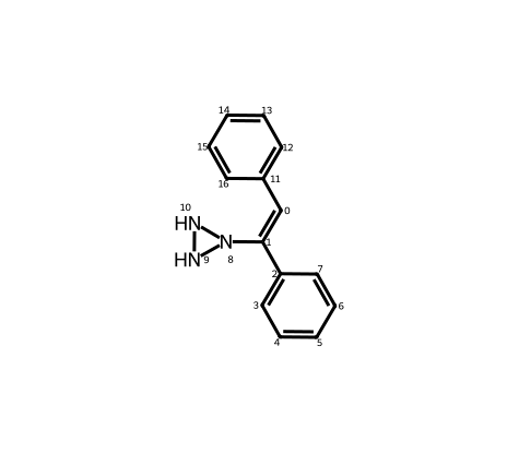 C(=C(c1ccccc1)n1[nH][nH]1)c1ccccc1